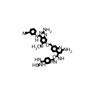 COc1cc2c(Nc3cccc(C#N)c3)nc(N)nc2cc1OCc1ccc2c(C(=N)OC(=N)c3ccc(C(=N)NO)cc3)cc(N)nc2c1